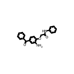 Nc1cc(C(=O)c2ccccc2)ccc1OCC(=O)Nc1ccccc1